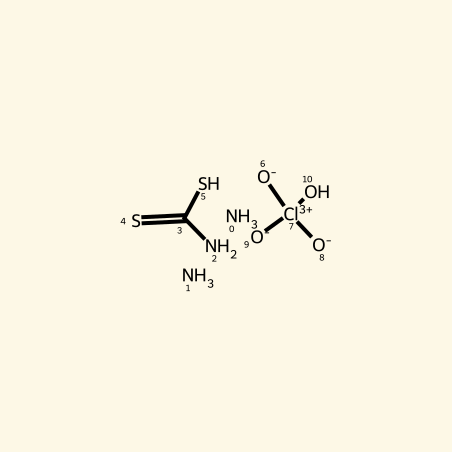 N.N.NC(=S)S.[O-][Cl+3]([O-])([O-])O